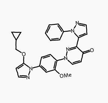 COc1cc(-n2nccc2OCC2CC2)ccc1-n1ccc(=O)c(-c2ccnn2-c2ccccc2)n1